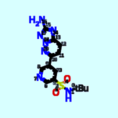 CC(C)(C)NS(=O)(=O)c1cncc(-c2ccc3nc(N)nn3n2)c1